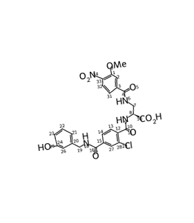 COc1cc(C(=O)NC[C@H](NC(=O)c2ccc(C(=O)NCc3cccc(O)c3)cc2Cl)C(=O)O)ccc1[N+](=O)[O-]